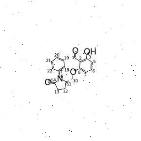 O=Cc1c(O)cccc1OC[C@@H]1CCC(=O)N1c1ccccc1